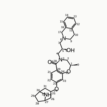 C[C@@H]1CN(C[C@H](O)CN2CCc3ccccc3C2)C(=O)c2ccc(OC3CC4CCC(C3)N4)cc2O1